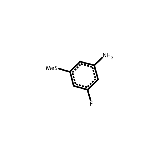 CSc1cc(N)cc(F)c1